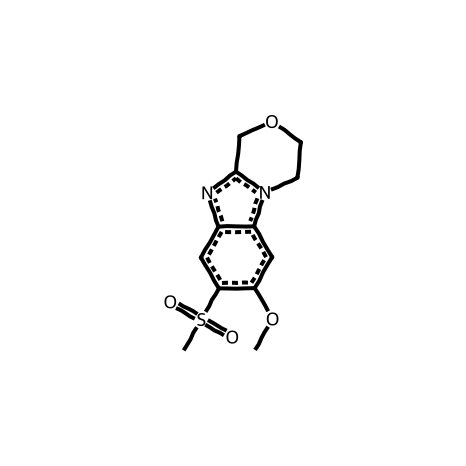 COc1cc2c(cc1S(C)(=O)=O)nc1n2CCOC1